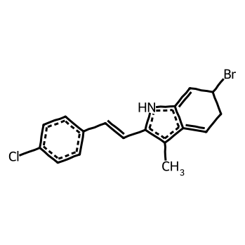 Cc1c(/C=C/c2ccc(Cl)cc2)[nH]c2c1=CCC(Br)C=2